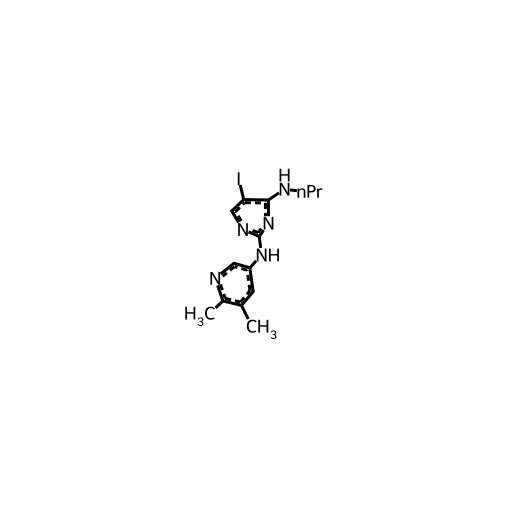 CCCNc1nc(Nc2cnc(C)c(C)c2)ncc1I